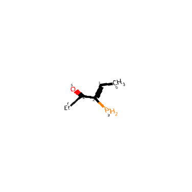 CC=C(P)C(=O)CC